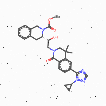 CC(C)(C)OC(=O)N1Cc2ccccc2C[C@H]1C(O)CN1CC(C)(C)c2cc(-c3ncnn3C3CC3)ccc2C1=O